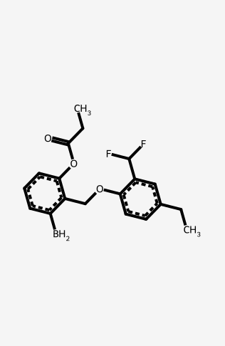 Bc1cccc(OC(=O)CC)c1COc1ccc(CC)cc1C(F)F